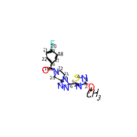 COc1nsc(-c2nnc3n2CCN(C(=O)c2ccc(F)cc2)C3)n1